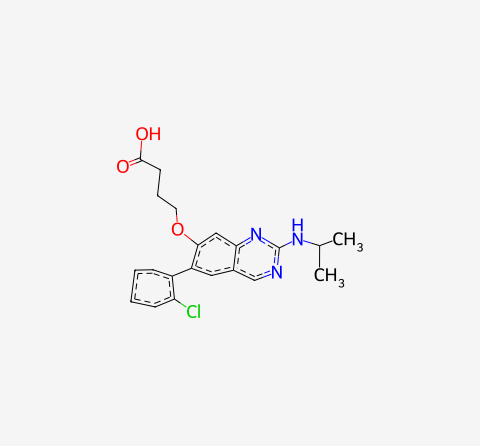 CC(C)Nc1ncc2cc(-c3ccccc3Cl)c(OCCCC(=O)O)cc2n1